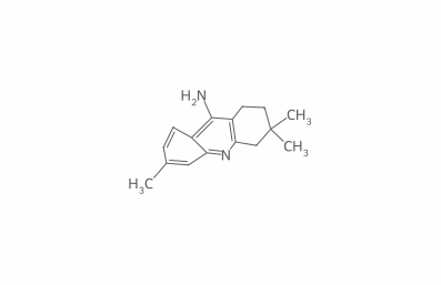 Cc1ccc2c(N)c3c(nc2c1)CC(C)(C)CC3